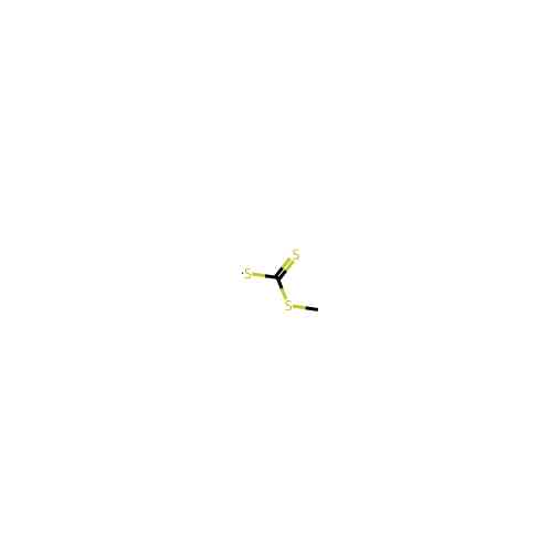 CSC([S])=S